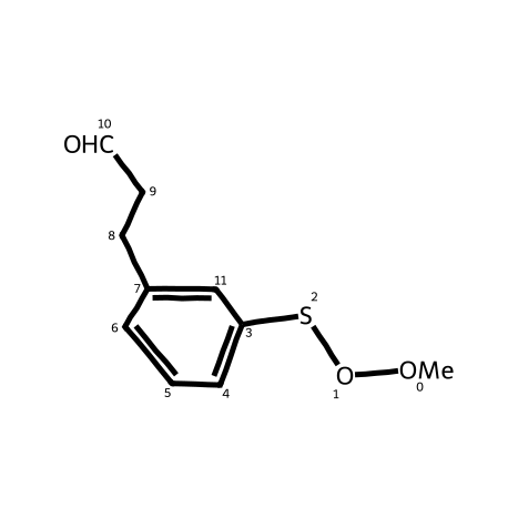 COOSc1cccc(CCC=O)c1